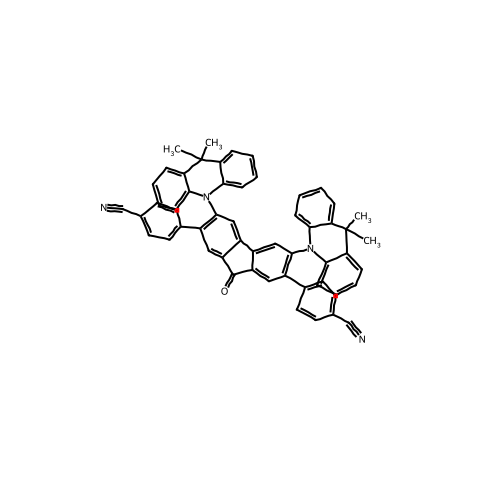 CC1(C)c2ccccc2N(c2cc3c(cc2-c2ccc(C#N)cc2)C(=O)c2cc(-c4ccc(C#N)cc4)c(N4c5ccccc5C(C)(C)c5ccccc54)cc2-3)c2ccccc21